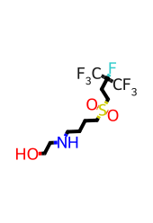 O=S(=O)(CCCCNCCO)CCC(F)(C(F)(F)F)C(F)(F)F